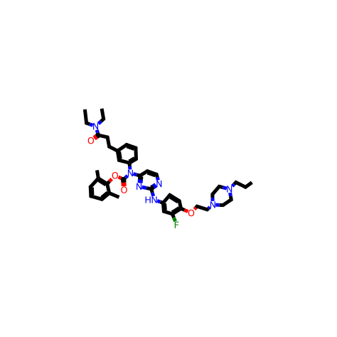 CCCN1CCN(CCOc2ccc(Nc3nccc(N(C(=O)Oc4c(C)cccc4C)c4cccc(CCC(=O)N(CC)CC)c4)n3)cc2F)CC1